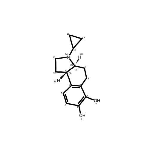 Oc1ccc2c(c1O)CC[C@H]1[C@H]2CCN1C1CC1